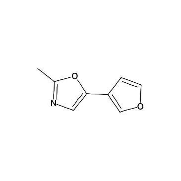 Cc1ncc(-c2ccoc2)o1